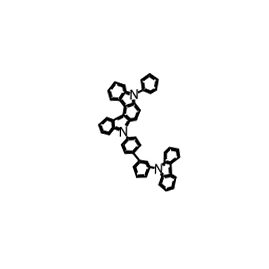 c1ccc(-n2c3ccccc3c3c4c5ccccc5n(-c5ccc(-c6cccc(-n7c8ccccc8c8ccccc87)c6)cc5)c4ccc32)cc1